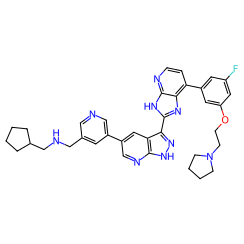 Fc1cc(OCCN2CCCC2)cc(-c2ccnc3[nH]c(-c4n[nH]c5ncc(-c6cncc(CNCC7CCCC7)c6)cc45)nc23)c1